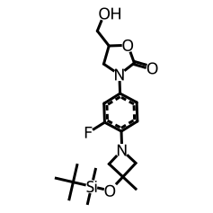 CC1(O[Si](C)(C)C(C)(C)C)CN(c2ccc(N3CC(CO)OC3=O)cc2F)C1